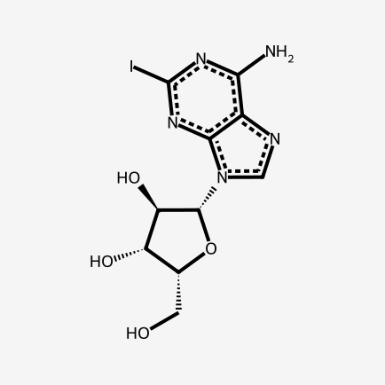 Nc1nc(I)nc2c1ncn2[C@@H]1O[C@H](CO)[C@H](O)[C@H]1O